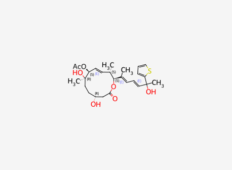 CC(=O)O[C@H]1/C=C/[C@H](C)[C@@H](/C(C)=C/C=C/C(C)(O)c2cccs2)OC(=O)C[C@H](O)CC[C@@]1(C)O